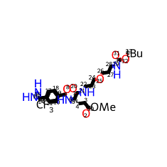 COC(=O)CC[C@H](NC(=O)c1ccc(C2(C(F)(F)F)NN2)cc1)C(=O)NCCCOCCCNC(=O)OC(C)(C)C